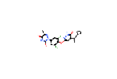 Cc1nn(-c2cc(Cl)c(Oc3cc([C@H](C)C4CCC4)c(=O)[nH]n3)c(Cl)c2)c(=O)[nH]c1=O